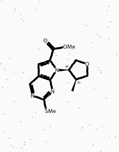 COC(=O)c1cc2cnc(SC)nc2n1[C@H]1COC[C@H]1C